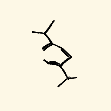 C=C(/C=C\C(=C/C)N(C)C)C(C)C